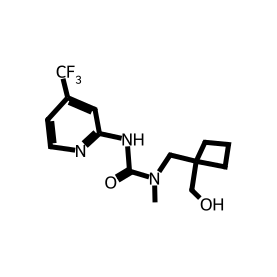 CN(CC1(CO)CCC1)C(=O)Nc1cc(C(F)(F)F)ccn1